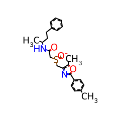 Cc1ccc(-c2nc(C[S+]([O-])CC(=O)NC(C)CCc3ccccc3)c(C)o2)cc1